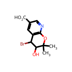 CC1(C)Oc2ncc(C(=O)O)cc2C(Br)C1O